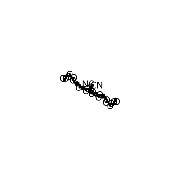 C=CC(=O)OC(C)COC(=O)CCC(=O)OCCc1ccc(CC(=O)C2CCC(C(=O)Oc3cc(C)c(OC(=O)C4CCC(C(=O)Oc5ccc(CCOC(=O)CCC(=O)OCC(C)OC(=O)C=C)cc5)CC4)c4c3SC(=C(C#N)C#N)S4)CC2)cc1